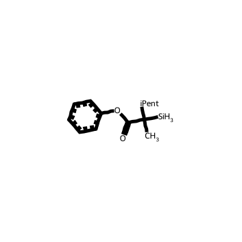 CCCC(C)C(C)([SiH3])C(=O)Oc1ccccc1